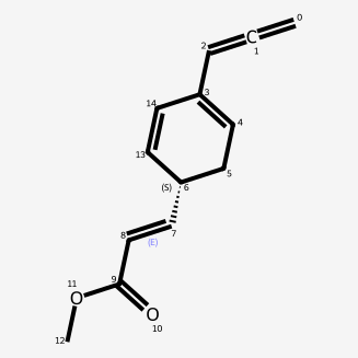 C=C=CC1=CC[C@H](/C=C/C(=O)OC)C=C1